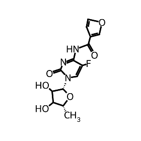 C[C@H]1O[C@@H](n2cc(F)c(NC(=O)c3ccoc3)nc2=O)C(O)C1O